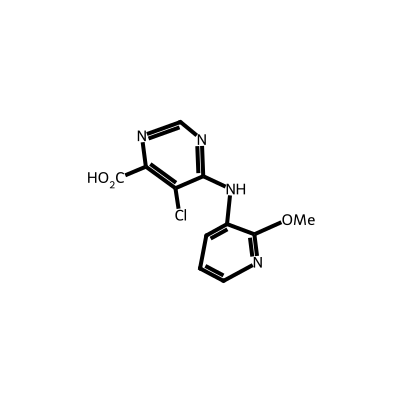 COc1ncccc1Nc1ncnc(C(=O)O)c1Cl